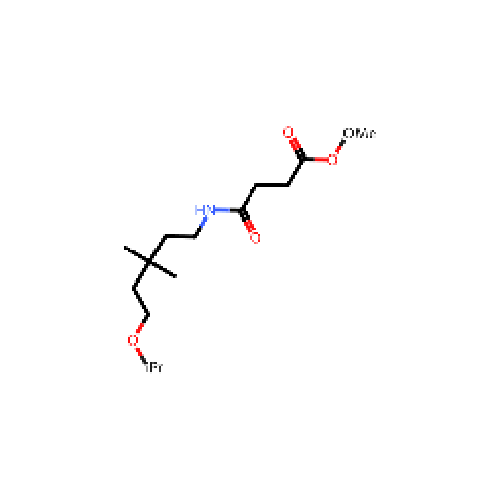 COOC(=O)CCC(=O)NCCC(C)(C)CCOC(C)C